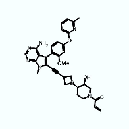 C=CC(=O)N1CC[C@@H](N2CC(C#Cc3c(-c4ccc(Oc5cccc(C)n5)cc4OC)c4c(N)ncnc4n3C)C2)[C@@H](O)C1